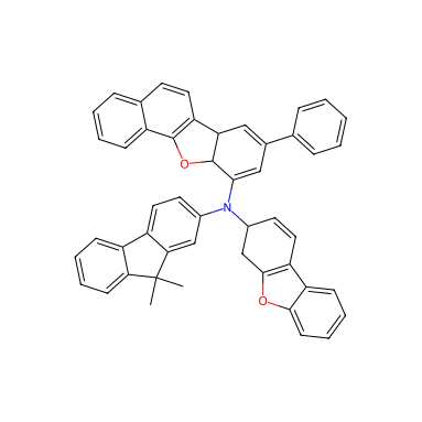 CC1(C)c2ccccc2-c2ccc(N(C3=CC(c4ccccc4)=CC4c5ccc6ccccc6c5OC34)C3C=Cc4c(oc5ccccc45)C3)cc21